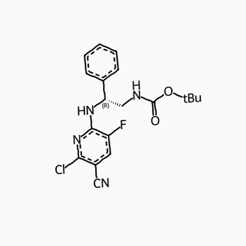 CC(C)(C)OC(=O)NC[C@H](Nc1nc(Cl)c(C#N)cc1F)c1ccccc1